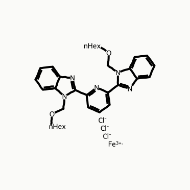 CCCCCCOCn1c(-c2cccc(-c3nc4ccccc4n3COCCCCCC)n2)nc2ccccc21.[Cl-].[Cl-].[Cl-].[Fe+3]